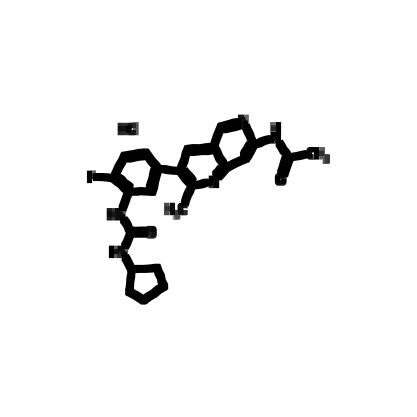 CC(=O)Nc1cc2nc(C)c(-c3ccc(F)c(NC(=O)NC4CCCC4)c3)cc2cn1.Cl